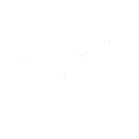 CCOc1ccc(C(C)=O)cc1NC(=O)c1cccc(C(=O)OC)n1